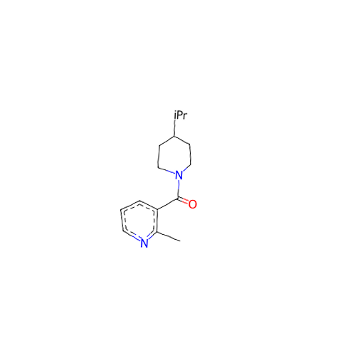 Cc1ncccc1C(=O)N1CCC(C(C)C)CC1